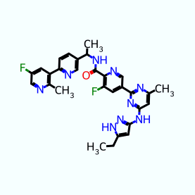 CCc1cc(Nc2cc(C)nc(-c3cnc(C(=O)NC(C)c4ccc(-c5cc(F)cnc5C)nc4)c(F)c3)n2)n[nH]1